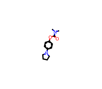 CN(C)C(=O)Oc1ccc(N2CCCC2)cc1